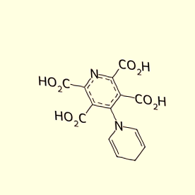 O=C(O)c1nc(C(=O)O)c(C(=O)O)c(N2C=CCC=C2)c1C(=O)O